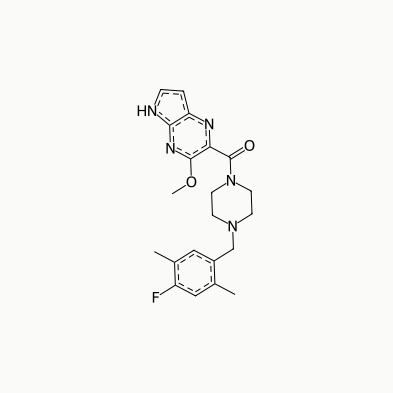 COc1nc2[nH]ccc2nc1C(=O)N1CCN(Cc2cc(C)c(F)cc2C)CC1